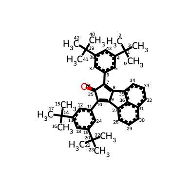 CC(C)(C)c1cc(C2=C3C(=C(c4cc(C(C)(C)C)cc(C(C)(C)C)c4)C2=O)c2cccc4cccc3c24)cc(C(C)(C)C)c1